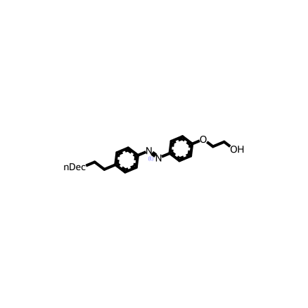 CCCCCCCCCCCCc1ccc(/N=N/c2ccc(OCCO)cc2)cc1